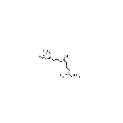 CCN(C)CCCN(C)CCCN(CC)CC